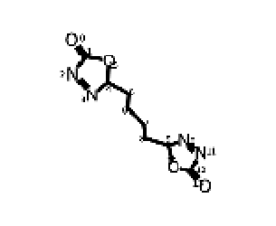 O=C1N=NC(CCCCC2N=NC(=O)O2)O1